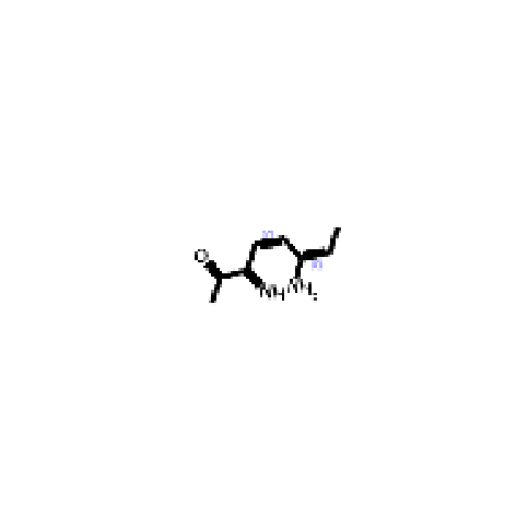 C/C=C(N)\C=C/C(=N)C(C)=O